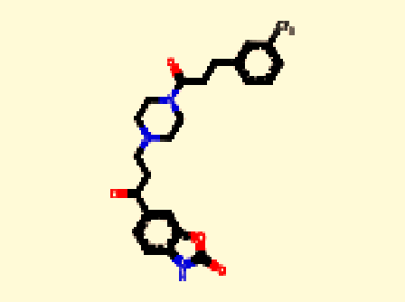 O=C(CCN1CCN(C(=O)CCc2cccc(C(F)(F)F)c2)CC1)c1ccc2[nH]c(=O)oc2c1